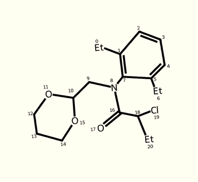 CCc1cccc(CC)c1N(CC1OCCCO1)C(=O)C(Cl)CC